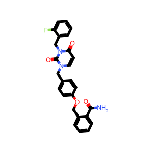 NC(=O)c1ccccc1COc1ccc(Cn2ccc(=O)n(Cc3ccccc3F)c2=O)cc1